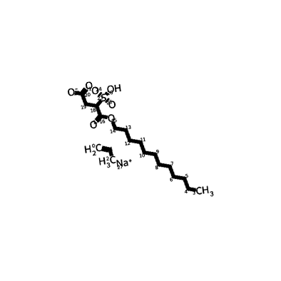 C=CC.CCCCCCCCCCCCOC(=O)C(CC(=O)[O-])S(=O)(=O)O.[Na+]